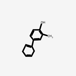 Cc1cc(C2=CCC=CC2)ccc1O